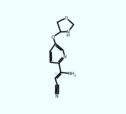 N#C/C=C(\N)c1ccc(OC2COCN2)cn1